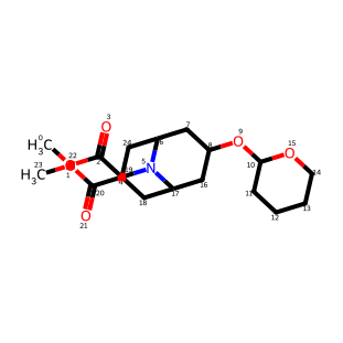 COC(=O)CN1C2CC(OC3CCCCO3)CC1CC(C(=O)OC)C2